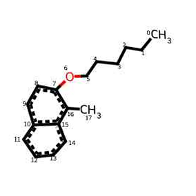 CCCCCCOc1ccc2ccccc2c1C